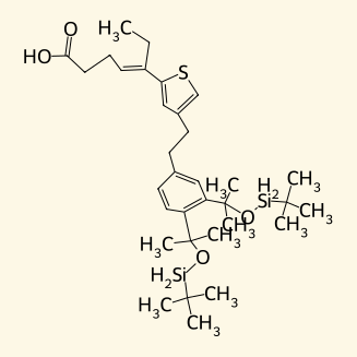 CCC(=CCCC(=O)O)c1cc(CCc2ccc(C(C)(C)O[SiH2]C(C)(C)C)c(C(C)(C)O[SiH2]C(C)(C)C)c2)cs1